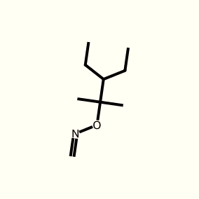 C=NOC(C)(C)C(CC)CC